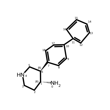 N[C@@H]1CCNC[C@H]1c1ccc(-c2ccccc2)cc1